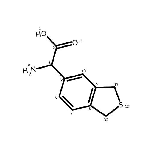 NC(C(=O)O)c1ccc2c(c1)CSC2